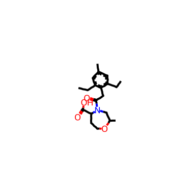 CCc1cc(C)cc(CC)c1CC(=O)N1CC(C)OCCC1C(=O)O